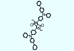 CCN1C(=O)C2=C(c3ccc(N(c4ccccc4)c4ccc(-c5ccccc5)cc4)cc3)N(CC)C(=O)C2=C1c1ccc(N(c2ccccc2)c2ccc(-c3ccccc3)cc2)cc1